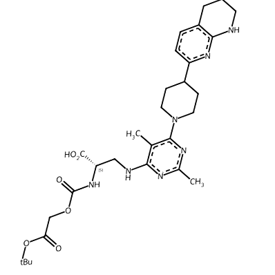 Cc1nc(NC[C@H](NC(=O)OCC(=O)OC(C)(C)C)C(=O)O)c(C)c(N2CCC(c3ccc4c(n3)NCCC4)CC2)n1